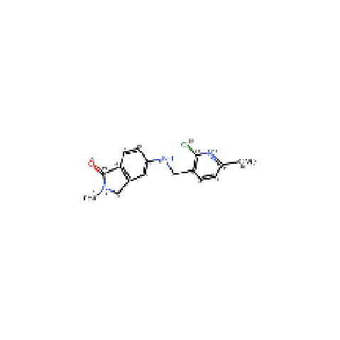 CCCCN1Cc2cc(NCc3ccc(OC)nc3Cl)ccc2C1=O